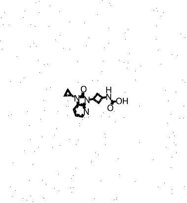 O=C(O)NC1CC(n2c(=O)n(C3CC3)c3cccnc32)C1